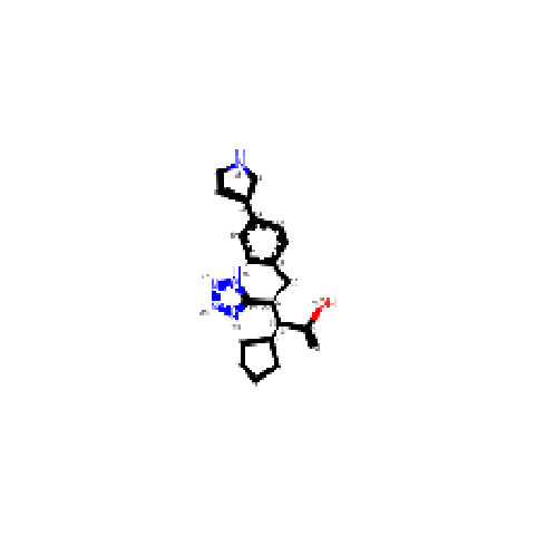 C=C(O)[C@@H](C1CCCC1)[C@H](Cc1ccc(C2=CCNC2)cc1)c1nnn[nH]1